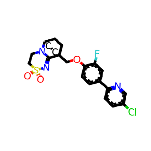 O=S1(=O)CCN2C(=N1)C1(COc3ccc(-c4ccc(Cl)cn4)cc3F)CCC2CC1